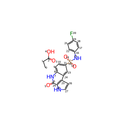 CCC(=O)O.O=c1[nH]c2ccc(S(=O)(=O)Nc3ccc(F)cc3)cc2c2cc[nH]c12